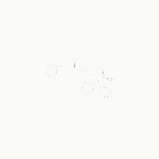 C[N+]1(CC(=O)OCc2ccccc2)CCC(C(C(N)=O)(c2ccccc2)c2ccccc2)C1